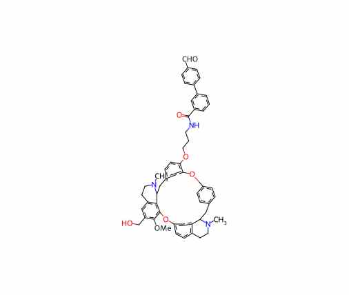 COc1c(CO)cc2c3c1Oc1ccc4c(c1)C(Cc1ccc(cc1)Oc1cc(ccc1OCCCNC(=O)c1cccc(-c5ccc(C=O)cc5)c1)CC3N(C)CC2)N(C)CC4